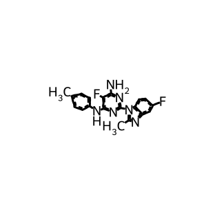 Cc1ccc(Nc2nc(-n3c(C)nc4cc(F)ccc43)nc(N)c2F)cc1